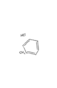 C.Cl.c1ccccc1